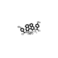 CCC([SiH2]c1cc2ccccc2c2c1OP(=O)(O)Oc1c([SiH2]C(CC)c3ccc(C(C)(C)C)cc3)cc3ccccc3c1-2)c1ccc(C(C)(C)C)cc1